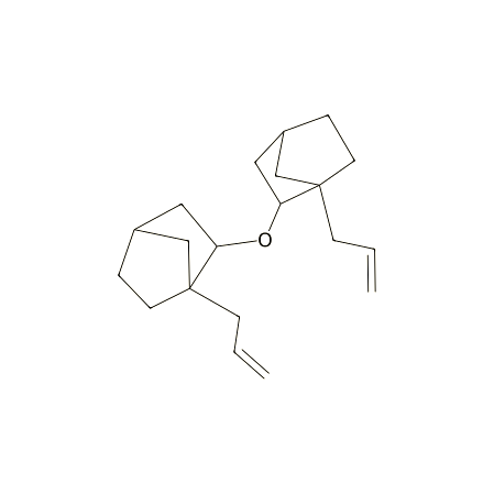 C=CCC12CCC(CC1OC1CC3CCC1(CC=C)C3)C2